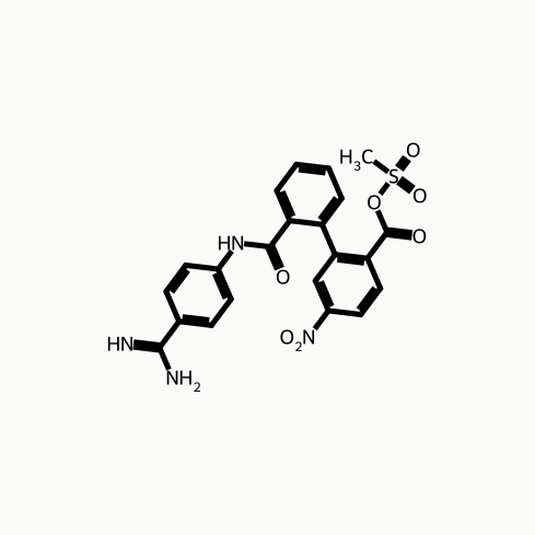 CS(=O)(=O)OC(=O)c1ccc([N+](=O)[O-])cc1-c1ccccc1C(=O)Nc1ccc(C(=N)N)cc1